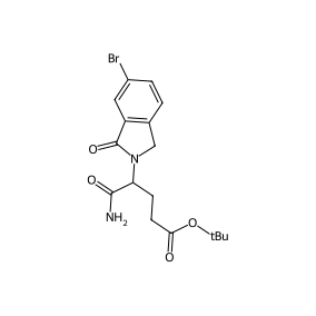 CC(C)(C)OC(=O)CCC(C(N)=O)N1Cc2ccc(Br)cc2C1=O